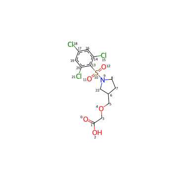 O=C(O)COCC1CCN(S(=O)(=O)c2c(Cl)cc(Cl)cc2Cl)C1